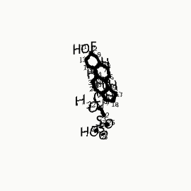 C[C@]12CC[C@H]3[C@@H](CC[C@@H]4C[C@@](O)(F)CC[C@@H]43)[C@@H]1CC[C@@H]2C(=O)CSS(=O)(=O)O